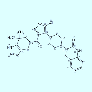 CC1(C)CN(C(=O)c2nsc(Cl)c2N2CCC(N3Cc4ccccc4NC3=O)CC2)Cc2cn[nH]c21